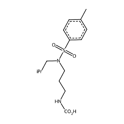 Cc1ccc(S(=O)(=O)N(CCCNC(=O)O)CC(C)C)cc1